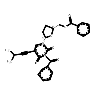 CC(C)C#Cc1cn([C@@H]2CC[C@H](COC(=O)c3ccccc3)O2)c(=O)n(C(=O)c2ccccc2)c1=O